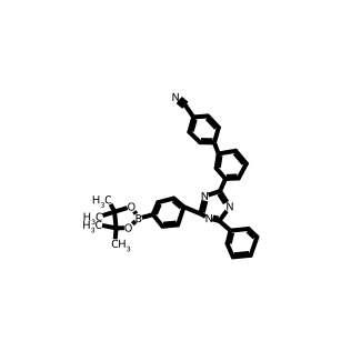 CC1(C)OB(c2ccc(-c3nc(-c4ccccc4)nc(-c4cccc(-c5ccc(C#N)cc5)c4)n3)cc2)OC1(C)C